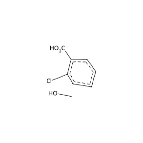 CO.O=C(O)c1ccccc1Cl